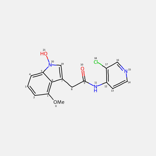 COc1cccc2c1c(CC(=O)Nc1ccncc1Cl)cn2O